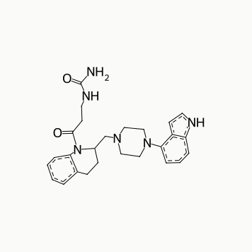 NC(=O)NCCC(=O)N1c2ccccc2CCC1CN1CCN(c2cccc3[nH]ccc23)CC1